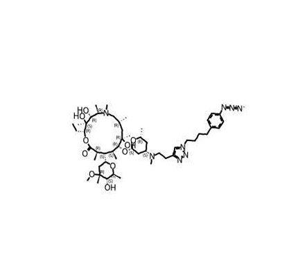 CC[C@H]1OC(=O)[C@H](C)[C@@H](C2C[C@@](C)(OC)[C@@H](O)[C@H](C)O2)[C@H](C)[C@@H](O[C@H]2C[C@@H](N(C)CCc3cn(CCCCc4ccc(N=[N+]=[N-])cc4)nn3)C[C@@H](C)O2)[C@](C)(O)C[C@@H](C)CN(C)[C@H](C)[C@@H](O)[C@]1(C)O